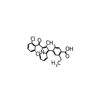 CCc1cc(-c2c(C)c(C(=O)c3c(Cl)cccc3Cl)n3ccccc23)ccc1C(=O)O